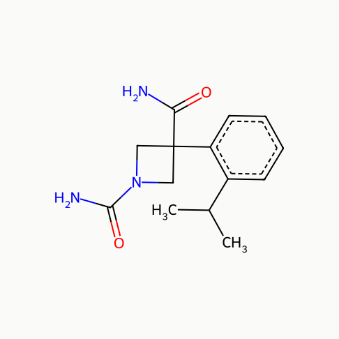 CC(C)c1ccccc1C1(C(N)=O)CN(C(N)=O)C1